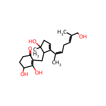 C/C(=C/C/C=C(\C)CO)C1=CCC(C)(O)C1CC1=C(O)C(O)CCC1=O